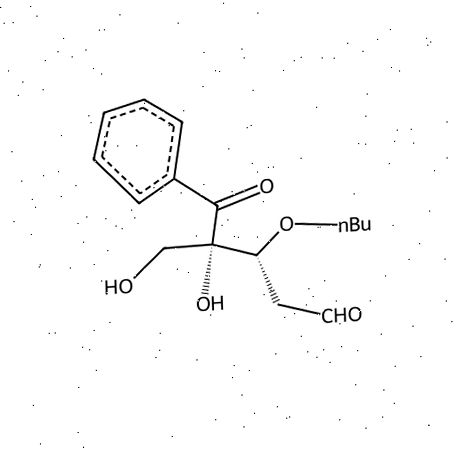 CCCCO[C@H](CC=O)[C@@](O)(CO)C(=O)c1ccccc1